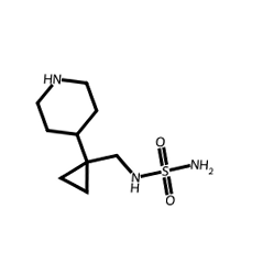 NS(=O)(=O)NCC1(C2CCNCC2)CC1